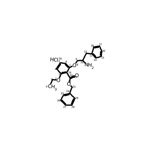 CCOc1cccc(OCC(N)Cc2ccccc2)c1C(=O)OCc1ccccc1.Cl